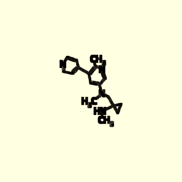 CNC1(CN(C)c2cnc(C)c(-c3ccncc3)c2)CC1